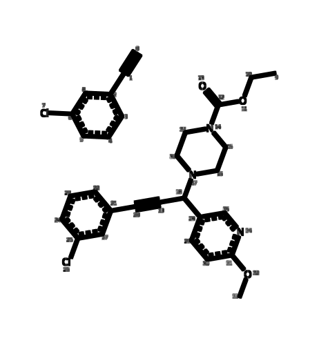 C#Cc1cccc(Cl)c1.CCOC(=O)N1CCN(C(C#Cc2cccc(Cl)c2)c2ccc(OC)nc2)CC1